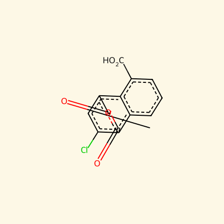 O=C(O)c1cccc2c3c(Cl)cc(c(=O)oc3=O)c12